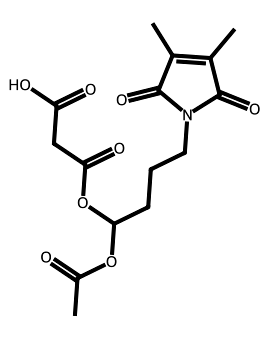 CC(=O)OC(CCCN1C(=O)C(C)=C(C)C1=O)OC(=O)CC(=O)O